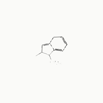 COC1C2=[C]C=CCC2=CC1C